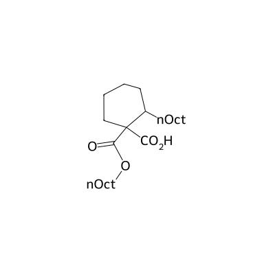 CCCCCCCCOC(=O)C1(C(=O)O)CCCCC1CCCCCCCC